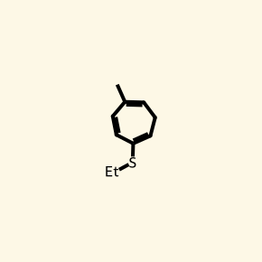 CCSC1=CCC=C(C)C=C1